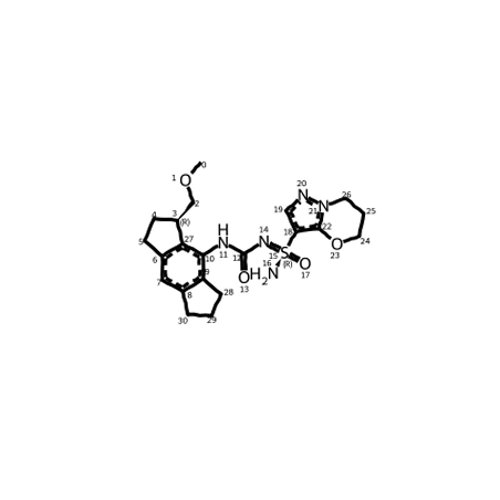 COC[C@@H]1CCc2cc3c(c(NC(=O)N=[S@@](N)(=O)c4cnn5c4OCCC5)c21)CCC3